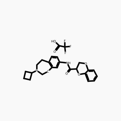 O=C(Nc1ccc2c(c1)CCN(C1CCC1)CC2)C1COc2ccccc2O1.O=C(O)C(F)(F)F